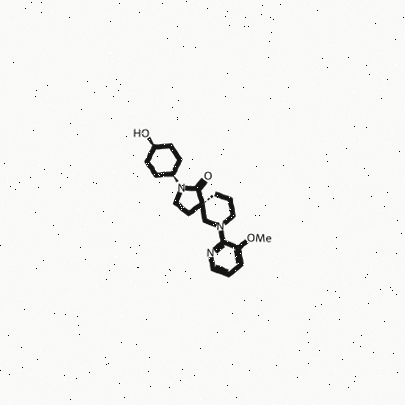 COc1cccnc1N1CCC[C@@]2(CCN([C@H]3CC[C@H](O)CC3)C2=O)C1